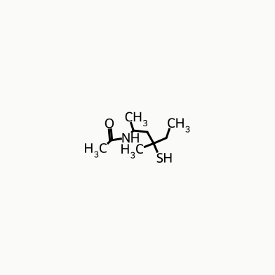 CCC(C)(S)CC(C)NC(C)=O